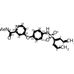 C=C/C=C(\C=C/C)S(=O)(=O)Nc1ccc(Oc2ccnc(C(=O)NC)c2)cc1